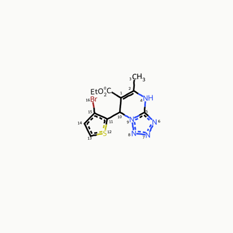 CCOC(=O)C1=C(C)Nc2nnnn2C1c1sccc1Br